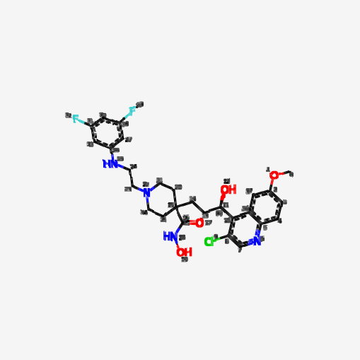 COc1ccc2ncc(Cl)c([C@H](O)CCC3(C(=O)NO)CCN(CCNc4cc(F)cc(F)c4)CC3)c2c1